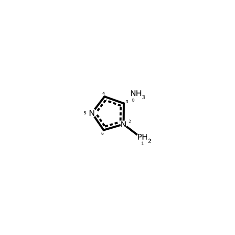 N.Pn1ccnc1